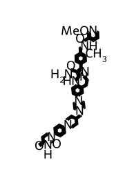 COc1ncccc1C(=O)NCc1ccc(-c2nn3c(c2C(N)=O)Nc2ccc(N4CCN(CC5CCN(c6ccc(N7CCC(=O)NC7=O)cc6)CC5)CC4)cc2CC3)cc1C